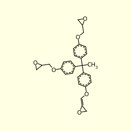 CC(c1ccc(O/C=C2\CO2)cc1)(c1ccc(OCC2CO2)cc1)c1ccc(OCC2CO2)cc1